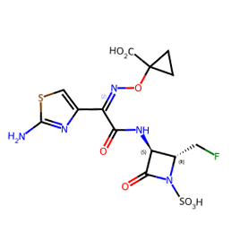 Nc1nc(/C(=N/OC2(C(=O)O)CC2)C(=O)N[C@@H]2C(=O)N(S(=O)(=O)O)[C@H]2CF)cs1